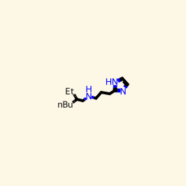 CCCCC(CC)CNCCCc1ncc[nH]1